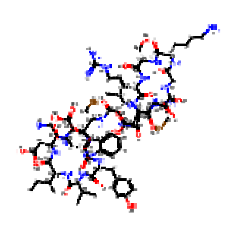 CC[C@H](C)[C@H](NC(=O)[C@@H](NC(=O)[C@H](Cc1ccc(O)cc1)NC(=O)[C@H](CCCCN)NC(=O)[C@H](CS)NC(=O)[C@H](CC(C)C)NC(=O)[C@H](CCC(N)=O)NC(=O)[C@H](CCCNC(=N)N)NC(=O)[C@H](CO)NC(=O)[C@H](CCCCN)NC(=O)CNC(=O)[C@H](CS)NC(=O)[C@@H](N)CC(=O)O)C(C)C)C(=O)N[C@@H](CC(=O)O)C(=O)N[C@@H](Cc1c[nH]c2ccccc12)C(=O)O